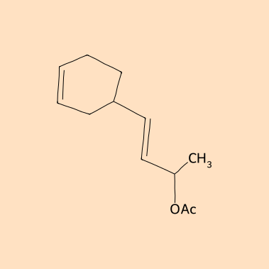 CC(=O)OC(C)C=CC1CC=CCC1